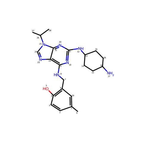 Cc1ccc(O)c(CNc2nc(NC3CCC(N)CC3)nc3c2ncn3C(C)C)c1